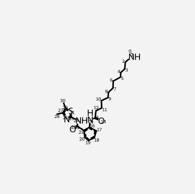 CNCCCCCCCCCCCC(=O)Nc1ccccc1C(=O)Nc1nc(C)c(C)s1